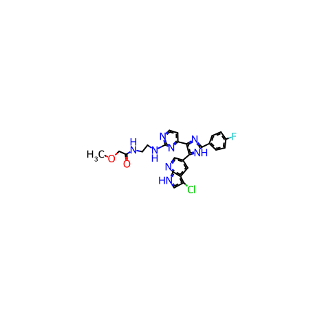 COCC(=O)NCCNc1nccc(-c2nc(-c3ccc(F)cc3)[nH]c2-c2cnc3[nH]cc(Cl)c3c2)n1